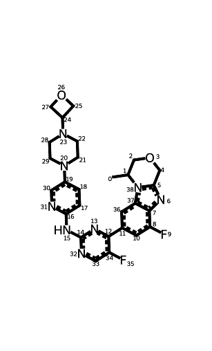 CC1COCc2nc3c(F)cc(-c4nc(Nc5ccc(N6CCN(C7COC7)CC6)cn5)ncc4F)cc3n21